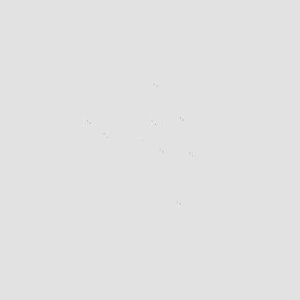 CCNC(=O)NC1(C(=O)NN)SCC(c2ccccn2)(c2ccccn2)N1c1ccccn1